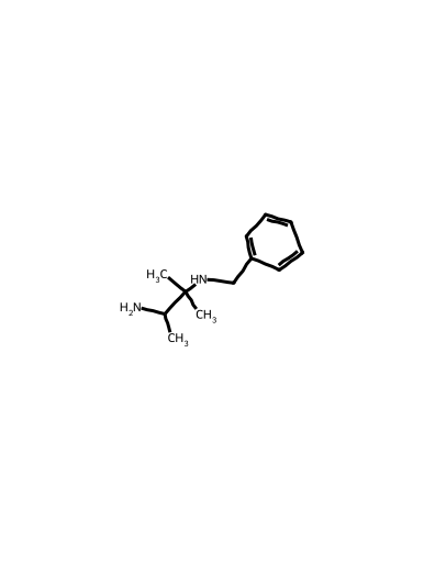 CC(N)C(C)(C)NCc1ccccc1